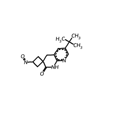 CC(C)(C)c1cnc2c(c1)CC1(CC(N=O)C1)C(=O)N2